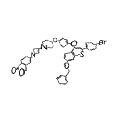 O=C1OCc2cc(N3CC(N4CCC(Oc5ccc(Oc6c(-c7ccc(Br)cc7)sc7cc(OCc8ccccc8)ccc67)cc5)CC4)C3)ccc21